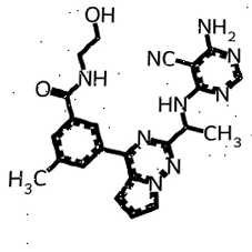 Cc1cc(C(=O)NCCO)cc(-c2nc(C(C)Nc3ncnc(N)c3C#N)nn3cccc23)c1